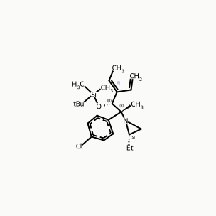 C=C/C(=C\C)[C@@H](O[Si](C)(C)C(C)(C)C)[C@@](C)(c1ccc(Cl)cc1)N1C[C@@H]1CC